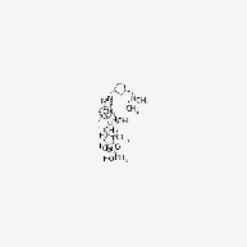 CCN(C)CC1CCC(Cn2cc3c(n2)C=C2CC[C@@H]4[C@H]([C@@H](O)C[C@@]5(C)[C@H]4C[C@H]4OC(C)O[C@]45C(=O)CO)[C@@]2(C)C3)C1